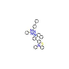 C1=CCCC(C2=CC=C(c3nc(C4=CCCC=C4)nc(-n4c5cccc(-c6ccc7c(c6)N(c6ccccc6)c6ccccc6S7)c5c5c6ccccc6ccc54)n3)CC2)=C1